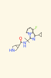 CC(C)(NC(=O)C1C2CNCC21)c1nc(C2CC2)c2c(F)cccn12